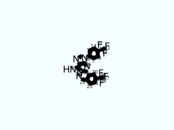 N=c1c2ncn(-c3ccc(C(F)(F)F)cc3)c2ncn1/N=C\c1ccc(C(F)(F)F)cc1